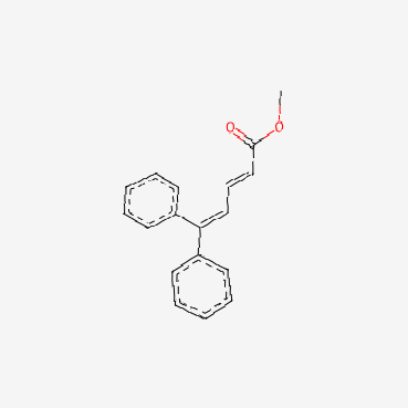 COC(=O)C=CC=C(c1ccccc1)c1ccccc1